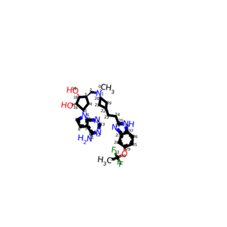 CN(C[C@H]1C[C@@H](n2ccc3c(N)ncnc32)[C@H](O)[C@@H]1O)C1CC(CCc2nc3cc(OC(C)(F)F)ccc3[nH]2)C1